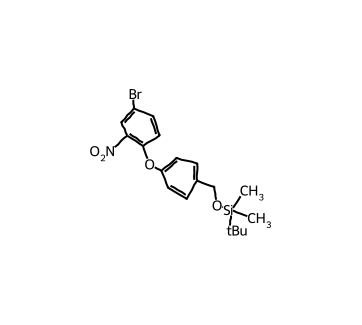 CC(C)(C)[Si](C)(C)OCc1ccc(Oc2ccc(Br)cc2[N+](=O)[O-])cc1